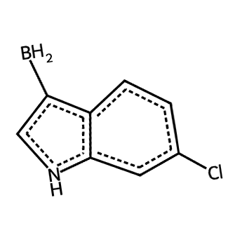 Bc1c[nH]c2cc(Cl)ccc12